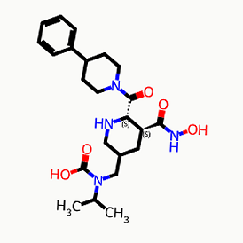 CC(C)N(CC1CN[C@H](C(=O)N2CCC(c3ccccc3)CC2)[C@@H](C(=O)NO)C1)C(=O)O